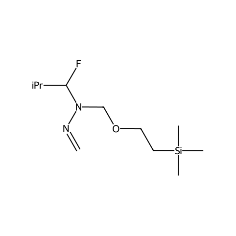 C=NN(COCC[Si](C)(C)C)C(F)C(C)C